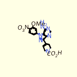 COc1cc(-n2nc(C3=CCN(C(=O)O)CC3)c3ncnc(N)c32)ccc1[N+](=O)[O-]